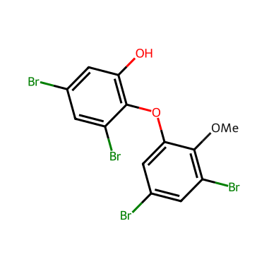 COc1c(Br)cc(Br)cc1Oc1c(O)cc(Br)cc1Br